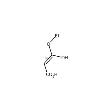 CCO/C(O)=C/C(=O)O